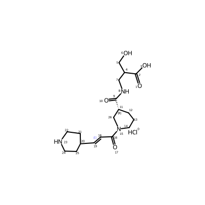 Cl.O=C(O)C(CO)CNC(=O)[C@@H]1CCCN(C(=O)/C=C/C2CCNCC2)C1